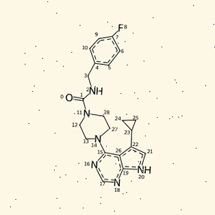 O=C(NCc1ccc(F)cc1)N1CCN(c2ncnc3[nH]cc(C4CC4)c23)CC1